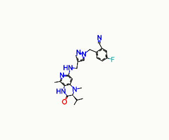 Cc1nc(NCc2cnn(Cc3ccc(F)cc3C#N)c2)cc2c1NC(=O)[C@H](C(C)C)N2C